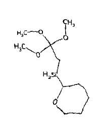 COC(C[SiH2]C1CCCCO1)(OC)OC